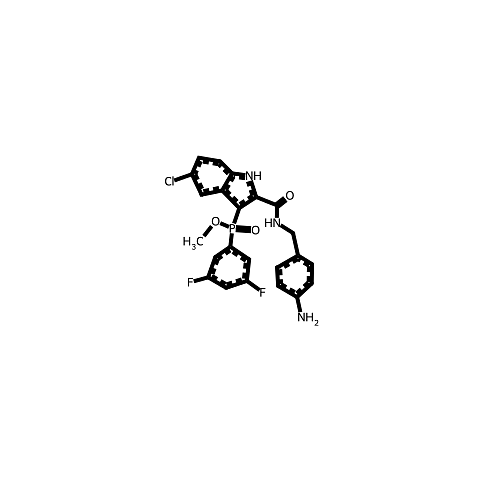 COP(=O)(c1cc(F)cc(F)c1)c1c(C(=O)NCc2ccc(N)cc2)[nH]c2ccc(Cl)cc12